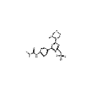 CCNC(=O)Nc1ccc(-c2nc(CS(=O)(=O)CC)cc(N3CCOC[C@@H]3C)n2)cc1